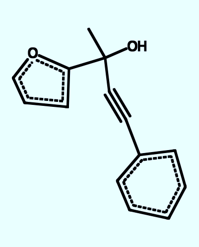 CC(O)(C#Cc1ccccc1)c1ccco1